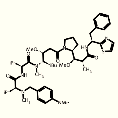 CC[C@H](C)[C@@H]([C@@H](CC(=O)N1CCC[C@H]1[C@H](OC)[C@@H](C)C(=O)N[C@@H](Cc1ccccc1)c1nccs1)OC)N(C)C(=O)[C@@H](NC(=O)[C@H](C(C)C)N(C)Cc1ccc(NC)cc1)C(C)C